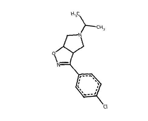 CC(C)N1CC2ON=C(c3ccc(Cl)cc3)C2C1